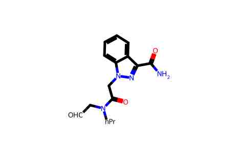 CCCN(CC=O)C(=O)Cn1nc(C(N)=O)c2ccccc21